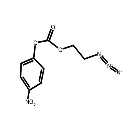 [N-]=[N+]=NCCOC(=O)Oc1ccc([N+](=O)[O-])cc1